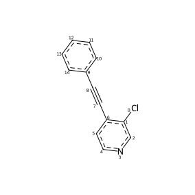 Clc1cnccc1C#Cc1ccccc1